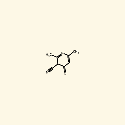 CC1=CC(=O)C(C#N)C(C)=N1